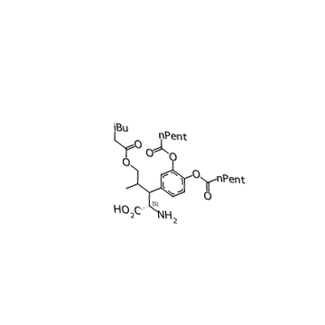 CCCCCC(=O)Oc1ccc(C(C(C)COC(=O)CC(C)CC)[C@H](N)C(=O)O)cc1OC(=O)CCCCC